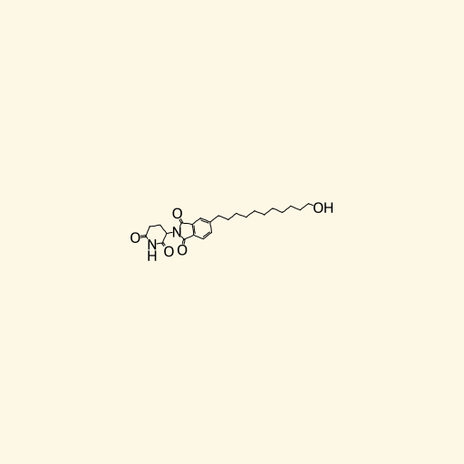 O=C1CCC(N2C(=O)c3ccc(CCCCCCCCCCCO)cc3C2=O)C(=O)N1